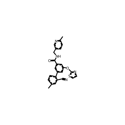 Cc1ccc(-c2cc(Oc3nccs3)cc(C(=O)NCc3ccc(C)nc3)c2)c(C#N)c1